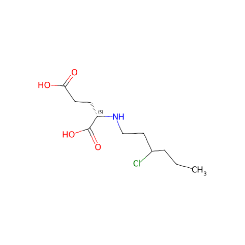 CCCC(Cl)CCN[C@@H](CCC(=O)O)C(=O)O